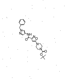 CC(C)(C)OC(=O)N1CCN(c2cc(C(=O)Nc3cnn(Cc4ccccc4)c3)no2)CC1